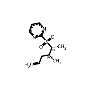 C=CC[C@H](C)[C@@H](C)S(=O)(=O)c1ncccn1